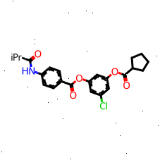 CC(C)C(=O)Nc1ccc(C(=O)Oc2cc(Cl)cc(OC(=O)C3CCCC3)c2)cc1